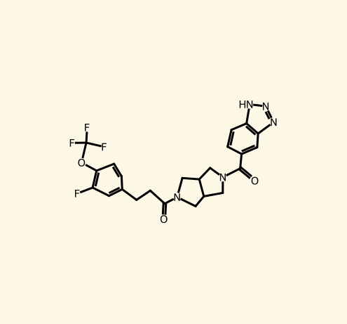 O=C(CCc1ccc(OC(F)(F)F)c(F)c1)N1CC2CN(C(=O)c3ccc4[nH]nnc4c3)CC2C1